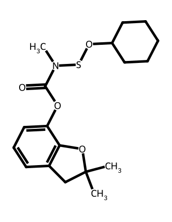 CN(SOC1CCCCC1)C(=O)Oc1cccc2c1OC(C)(C)C2